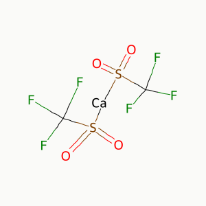 O=[S](=O)([Ca][S](=O)(=O)C(F)(F)F)C(F)(F)F